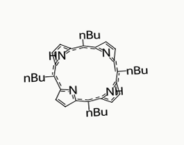 CCCCc1c2nc(c(CCCC)c3ccc([nH]3)c(CCCC)c3nc(c(CCCC)c4ccc1[nH]4)C=C3)C=C2